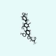 COc1cc(-c2cc(C)c(-c3ccc(O)cc3)cc2C)ccc1OCCC(C)C